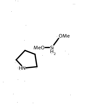 C1CCNC1.CO[SiH2]OC